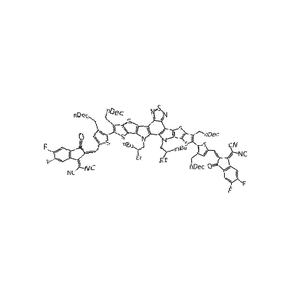 [C-]#[N+]/C(C#N)=C1\C(=C\c2cc(CCCCCCCCCCC)c(-c3sc4c(sc5c6c7nsnc7c7c8sc9c(CCCCCCCCCCC)c(-c%10sc(/C=C%11\C(=O)c%12cc(F)c(F)cc%12\C%11=C(\C#N)[N+]#[C-])cc%10CCCCCCCCCCC)sc9c8n(CC(CC)CCCC)c7c6n(CC(CC)CCCC)c45)c3CCCCCCCCCCC)s2)C(=O)c2cc(F)c(F)cc21